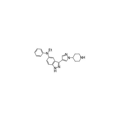 CCN(c1ccccc1)c1ccc2[nH]nc(-c3cnn(C4CCNCC4)c3)c2c1